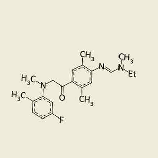 CCN(C)C=Nc1cc(C)c(C(=O)CN(C)c2cc(F)ccc2C)cc1C